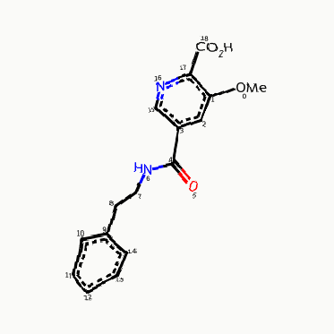 COc1cc(C(=O)NCCc2ccccc2)cnc1C(=O)O